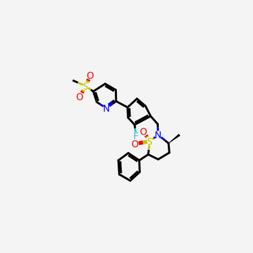 C[C@H]1CCC(c2ccccc2)S(=O)(=O)N1Cc1ccc(-c2ccc(S(C)(=O)=O)cn2)cc1F